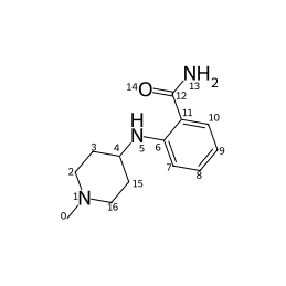 CN1CCC(Nc2ccccc2C(N)=O)CC1